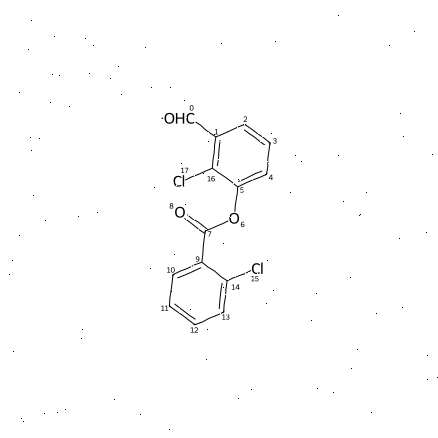 O=[C]c1cccc(OC(=O)c2ccccc2Cl)c1Cl